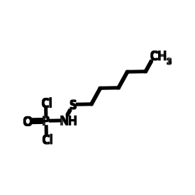 CCCCCCSNP(=O)(Cl)Cl